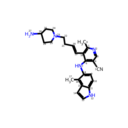 Cc1ncc(C#N)c(Nc2ccc3[nH]ccc3c2C)c1/C=C/CCN1CCC(N)CC1